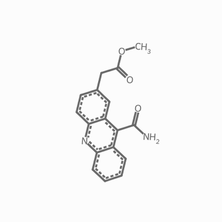 COC(=O)Cc1ccc2nc3ccccc3c(C(N)=O)c2c1